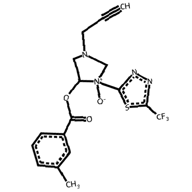 C#CCN1CC(OC(=O)c2cccc(C)c2)[N+]([O-])(c2nnc(C(F)(F)F)s2)C1